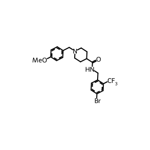 COc1ccc(CN2CCC(C(=O)NCc3ccc(Br)cc3C(F)(F)F)CC2)cc1